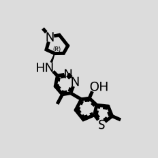 Cc1cc2c(O)c(-c3nnc(N[C@@H]4CCCN(C)C4)cc3C)ccc2s1